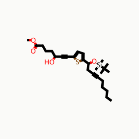 CCCCCC#CCC(O[Si](C)(C)C(C)(C)C)c1ccc(C#CC(O)CCCC(=O)OC)s1